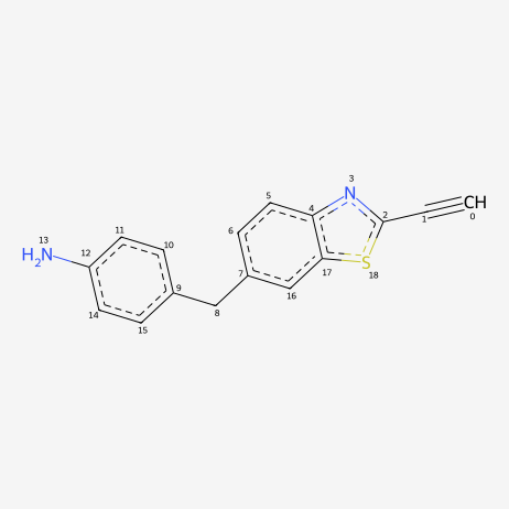 C#Cc1nc2ccc(Cc3ccc(N)cc3)cc2s1